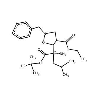 CCOC(=O)C1CN(Cc2ccccc2)OC1[C@@](N)(CC(C)C)C(=O)OC(C)(C)C